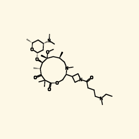 CCN(C)CCCC(=O)N1CC(C2COC(=O)C(C)(C)C(=O)[C@H](C)[C@@H](O[C@H]3C[C@@H](N(C)C)C[C@@H](C)O3)[C@](C)(OC)C[C@@H](C)CN2C)C1